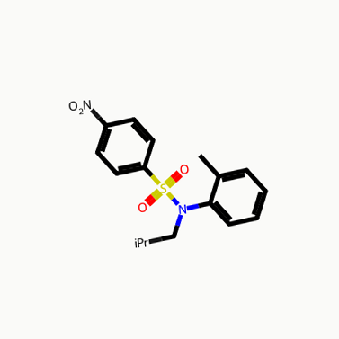 Cc1ccccc1N(CC(C)C)S(=O)(=O)c1ccc([N+](=O)[O-])cc1